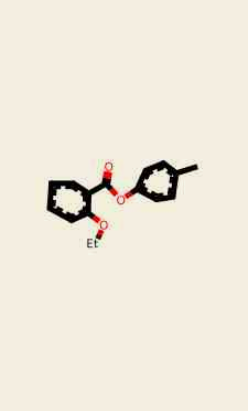 CCOc1ccccc1C(=O)Oc1ccc(C)cc1